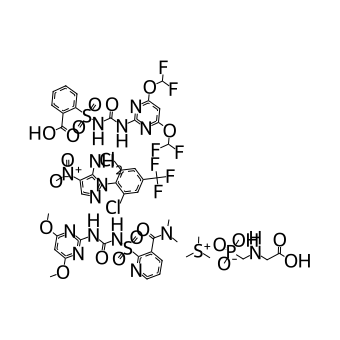 COc1cc(OC)nc(NC(=O)NS(=O)(=O)c2ncccc2C(=O)N(C)C)n1.C[S+](C)C.Nc1c([N+](=O)[O-])cnn1-c1c(Cl)cc(C(F)(F)F)cc1Cl.O=C(Nc1nc(OC(F)F)cc(OC(F)F)n1)NS(=O)(=O)c1ccccc1C(=O)O.O=C(O)CNCP(=O)([O-])O